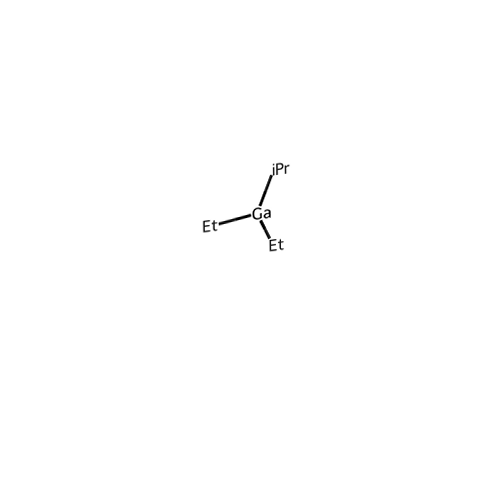 C[CH2][Ga]([CH2]C)[CH](C)C